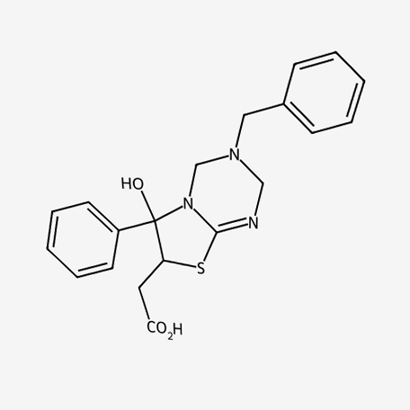 O=C(O)CC1SC2=NCN(Cc3ccccc3)CN2C1(O)c1ccccc1